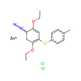 CCOC1=CC(Sc2ccc(C)cc2)=C(OCC)CC1=[N+]=[N-].[Cl-].[Cl-].[Zn+2]